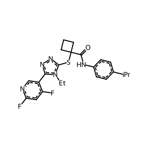 CCn1c(SC2(C(=O)Nc3ccc(C(C)C)cc3)CCC2)nnc1-c1cnc(F)cc1F